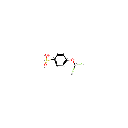 O=S(O)c1ccc(OC(F)F)cc1